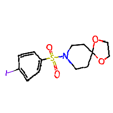 O=S(=O)(c1ccc(I)cc1)N1CCC2(CC1)OCCO2